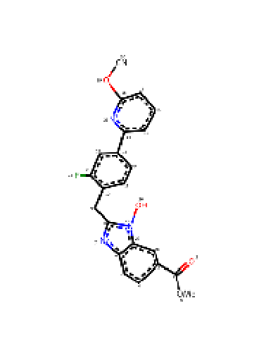 COC(=O)c1ccc2nc(Cc3ccc(-c4cccc(OC#N)n4)cc3F)n(O)c2c1